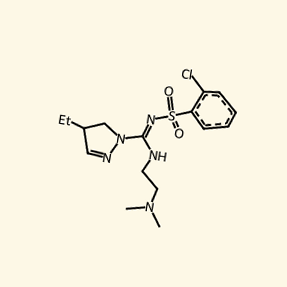 CCC1C=NN(/C(=N/S(=O)(=O)c2ccccc2Cl)NCCN(C)C)C1